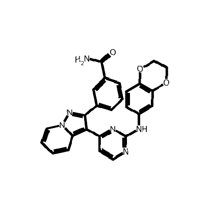 NC(=O)c1cccc(-c2nn3ccccc3c2-c2ccnc(Nc3ccc4c(c3)OCCO4)n2)c1